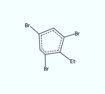 C[CH]c1c(Br)cc(Br)cc1Br